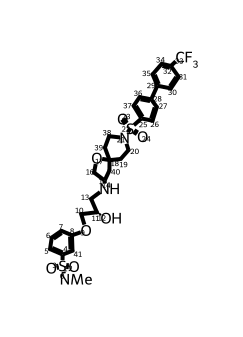 CNS(=O)(=O)c1cccc(OC[C@@H](O)CNC2COC3(CCN(S(=O)(=O)c4ccc(-c5ccc(C(F)(F)F)cc5)cc4)CC3)C2)c1